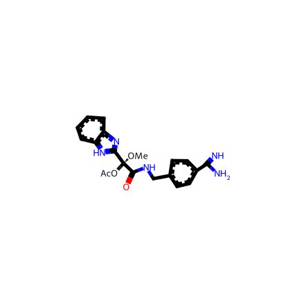 CO[C@@](OC(C)=O)(C(=O)NCc1ccc(C(=N)N)cc1)c1nc2ccccc2[nH]1